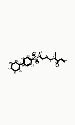 C=CC(=O)NCCCN(C)S(=O)(=O)c1ccc(C2CCCCC2)cc1